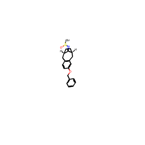 CC(C)(C)[S+]([O-])/N=C1/[C@@H]2CC[C@H]1Cc1ccc(OCc3ccccc3)cc1C2